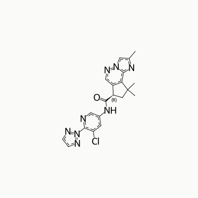 Cc1cn2ncc3c(c2n1)C(C)(C)C[C@H]3C(=O)Nc1cnc(-n2nccn2)c(Cl)c1